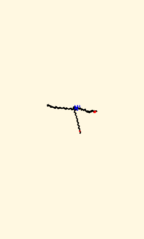 CCCCCCCCCCCCCCCc1cc[n+](CCCCCCCCCCCCC)cc1CCCCCCCCCCCCCCC